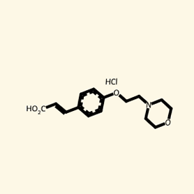 Cl.O=C(O)/C=C/c1ccc(OCCN2CCOCC2)cc1